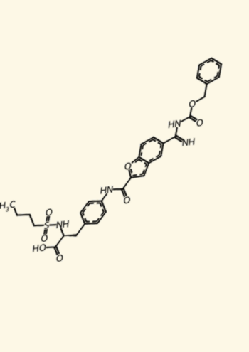 CCCCS(=O)(=O)N[C@@H](Cc1ccc(NC(=O)c2cc3cc(C(=N)NC(=O)OCc4ccccc4)ccc3o2)cc1)C(=O)O